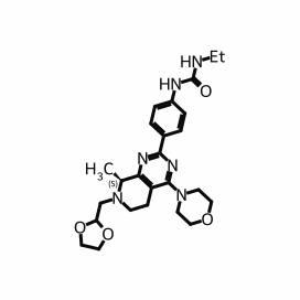 CCNC(=O)Nc1ccc(-c2nc3c(c(N4CCOCC4)n2)CCN(CC2OCCO2)[C@H]3C)cc1